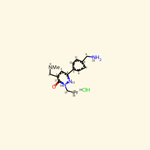 CNCc1cc(-c2ccc(CN)cc2)nn(CC(C)C)c1=O.Cl